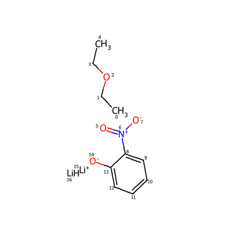 CCOCC.O=[N+]([O-])c1ccccc1[O-].[Li+].[LiH]